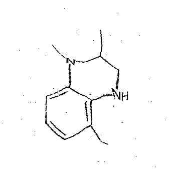 Cc1cccc2c1NCC(C)N2C